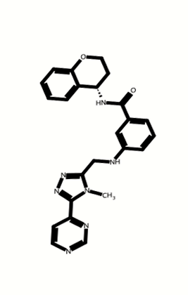 Cn1c(CNc2cccc(C(=O)N[C@H]3CCOc4ccccc43)c2)nnc1-c1ccncn1